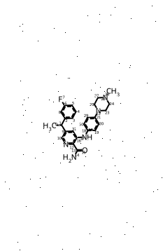 CC(c1cccc(F)c1)c1cnc(C(N)=O)c(Nc2ccc(N3CCN(C)CC3)cc2)c1